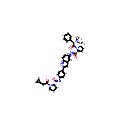 CN(C)[C@@H](C(=O)N1CCC[C@H]1C(=O)Nc1ccc2[nH]c(-c3ccc(NC(=O)[C@@H]4CCCN4C(=O)CC4CC4)cc3)cc2c1)c1ccccc1